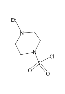 CCN1CCN(S(=O)(=O)Cl)CC1